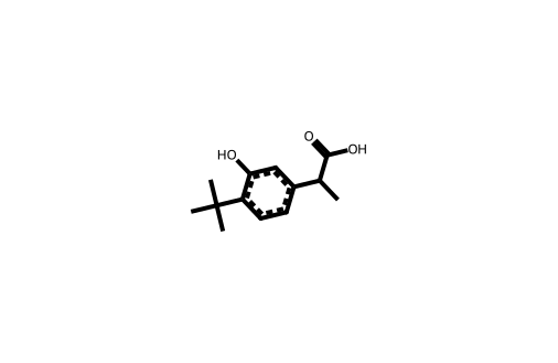 CC(C(=O)O)c1ccc(C(C)(C)C)c(O)c1